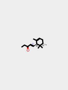 CCC(=O)/C=C/[C@H]1C(C)=CC[C@H](C)C1(C)C